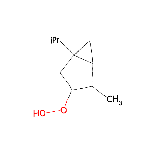 CC1C(OO)CC2(C(C)C)CC12